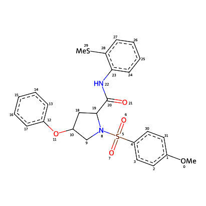 COc1ccc(S(=O)(=O)N2CC(Oc3ccccc3)CC2C(=O)Nc2ccccc2SC)cc1